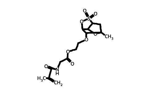 C=C(C)C(=O)NCC(=O)OCCOC1C2OS(=O)(=O)C3CC1(C)OC23